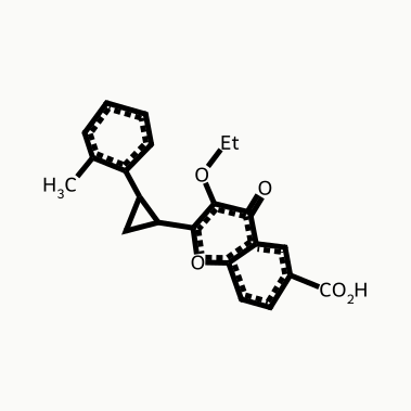 CCOc1c(C2CC2c2ccccc2C)oc2ccc(C(=O)O)cc2c1=O